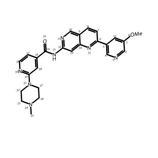 COc1cncc(-c2ccc3cnc(NC(=O)c4ccnc(N5CCN(C)CC5)c4)cc3n2)c1